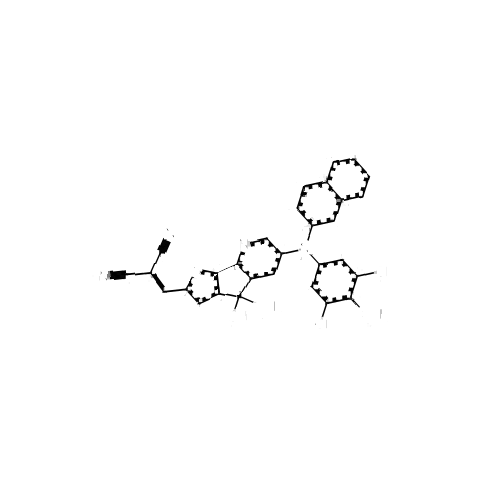 Cc1cc(N(c2cnc3c(c2)C(C)(C)c2cc(C=C(C#N)C#N)sc2-3)c2ccc3ccccc3c2)cc(C)c1C